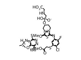 COC(=O)CSc1cc(/N=c2\sc(=O)n3n2CCCC3)c(F)cc1Cl.CSc1nnc(C(C)(C)C)c(=O)n1N.C[S+](C)C.O=C(O)CNCP(=O)([O-])O